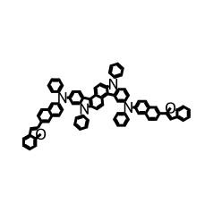 c1ccc(N(c2ccc3cc(-c4cc5ccccc5o4)ccc3c2)c2ccc3c(c2)c2c4ccc5c(c4ccc2n3-c2ccccc2)c2ccc(N(c3ccccc3)c3ccc4cc(-c6cc7ccccc7o6)ccc4c3)cc2n5-c2ccccc2)cc1